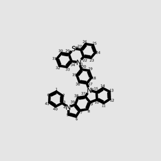 c1ccc(-n2ccc3cc4c5ccccc5n(-c5ccc(N6c7ccccc7Sc7ccccc76)cc5)c4cc32)cc1